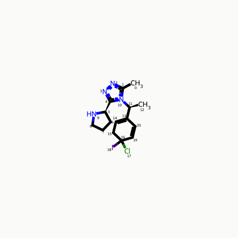 Cc1nnc([C@H]2CCCN2)n1[C@@H](C)C1=CCC(Cl)(I)C=C1